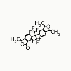 C=C1OC(=O)c2cc(C(c3ccc4c(=C)oc(=C)c4c3)(C(F)(F)F)C(F)(F)F)ccc21